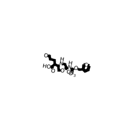 CC1(NC(=O)OCc2ccccc2)CNC(C(CCC=O)C(=O)O)CO1